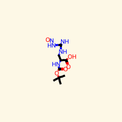 CC(C)(C)OC(=O)NC(CNC(=N)NN=O)C(=O)O